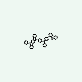 c1ccc(N(c2ccc(-c3cccc4c3sc3ccccc34)cc2)c2ccc(-n3c4ccccc4c4cc5c(cc43)c3ccccc3n5-c3ccccc3)cc2)cc1